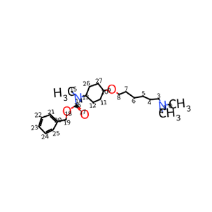 CN(C)CCCCCCOC1CCC(N(C)C(=O)OCc2ccccc2)CC1